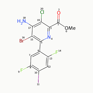 COC(=O)c1nc(-c2cc(F)c(I)cc2F)c(Br)c(N)c1Cl